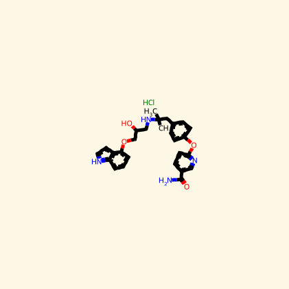 CC(C)(Cc1ccc(Oc2ccc(C(N)=O)cn2)cc1)NCC(O)COc1cccc2[nH]ccc12.Cl